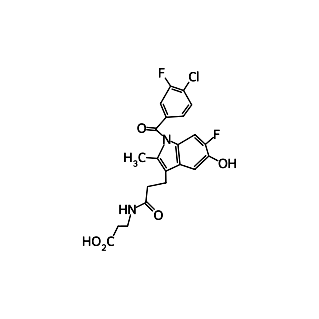 Cc1c(CCC(=O)NCCC(=O)O)c2cc(O)c(F)cc2n1C(=O)c1ccc(Cl)c(F)c1